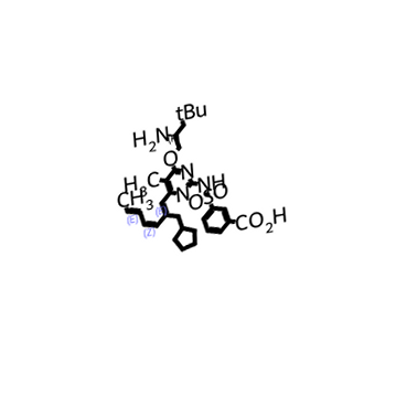 C/C=C/C=C\C(=C\c1nc(NS(=O)(=O)c2cccc(C(=O)O)c2)nc(OC[C@H](N)CC(C)(C)C)c1C)CC1CCCC1